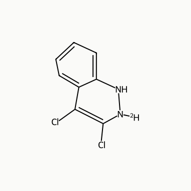 [2H]N1Nc2ccccc2C(Cl)=C1Cl